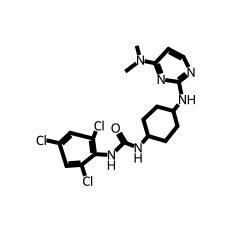 CN(C)c1ccnc(NC2CCC(NC(=O)Nc3c(Cl)cc(Cl)cc3Cl)CC2)n1